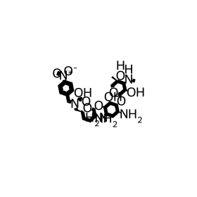 CN[C@@H]1[C@@H](O)[C@@H](O[C@@H]2[C@@H](O)[C@H](O[C@H]3O[C@H](CN(Cc4ccc([N+](=O)[O-])cc4)C(=O)O)CC[C@H]3N)[C@@H](N)C[C@H]2N)OC[C@]1(C)O